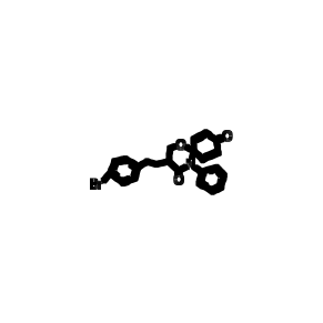 O=C1C=CC2(C=C1)OCC(CCc1ccc(Br)cc1)C(=O)N2c1ccccc1